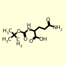 CC(C)(C)OC(=O)NC(CCC(N)=O)C(=O)O